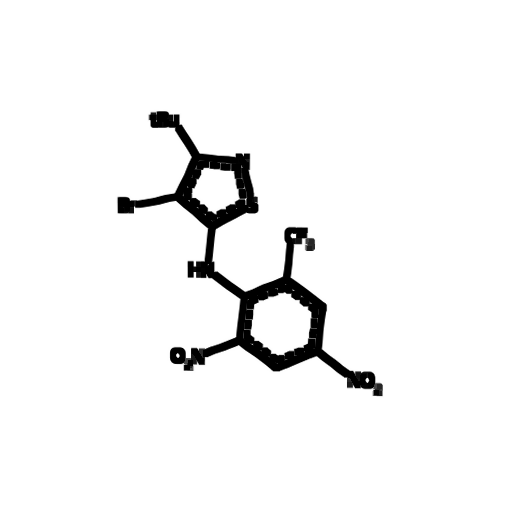 CC(C)(C)c1nsc(Nc2c([N+](=O)[O-])cc([N+](=O)[O-])cc2C(F)(F)F)c1Br